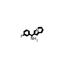 NC(c1cccc(F)c1)c1cc2ccccn2c1